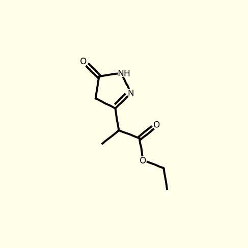 CCOC(=O)C(C)C1=NNC(=O)C1